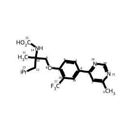 Cc1cc(-c2ccc(OCC(C)(CC(C)C)NC(=O)O)c(C(F)(F)F)c2)ncn1